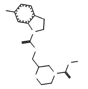 CC(C)(C)OC(=O)N1CCNC(CNC(=O)N2CCc3ccc(F)cc32)C1